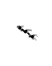 CCCCCOc1ccc(OC(=O)/C=C/c2ccc(OCCCOC(=O)c3cc(N)cc(N)c3)c(OC)c2)cc1